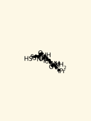 CC(C)SC[C@H](N)C(=O)NCCCC[C@H](NC1OC1[C@H](N)CSSS)C(=O)C(C)C